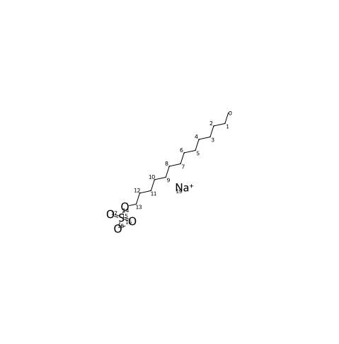 CCCCCCCCCCCCCCOS(=O)(=O)[O-].[Na+]